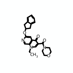 CCn1cc(C(=O)N2CCOCC2)c(=O)c2cc(OC3Cc4ccccc4C3)ncc21